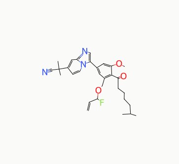 C=CC(F)OCc1cc(-c2cnc3cc(C(C)(C)C#N)ccn23)cc(OC)c1C(=O)CCCCC(C)C